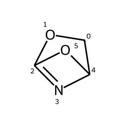 C1OC2=NC1O2